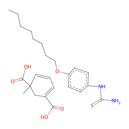 CC1(C(=O)O)C=CC=C(C(=O)O)C1.CCCCCCCCOc1ccc(NC(N)=S)cc1